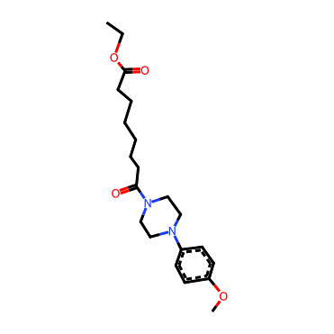 CCOC(=O)CCCCCCC(=O)N1CCN(c2ccc(OC)cc2)CC1